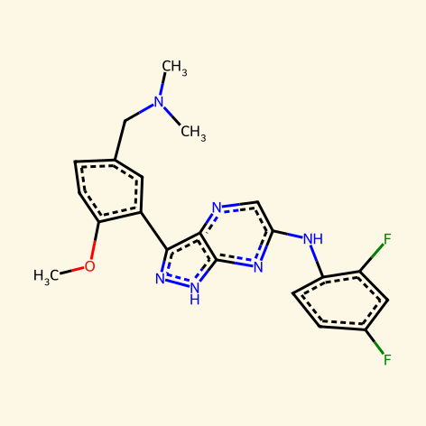 COc1ccc(CN(C)C)cc1-c1n[nH]c2nc(Nc3ccc(F)cc3F)cnc12